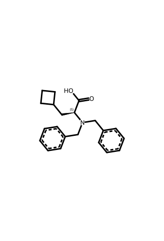 O=C(O)[C@H](CC1CCC1)N(Cc1ccccc1)Cc1ccccc1